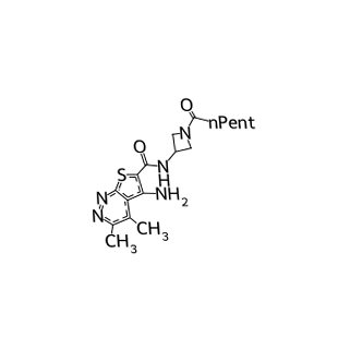 CCCCCC(=O)N1CC(NC(=O)c2sc3nnc(C)c(C)c3c2N)C1